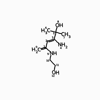 C=C(/C=C(\N)C(C)(C)O)NCCO